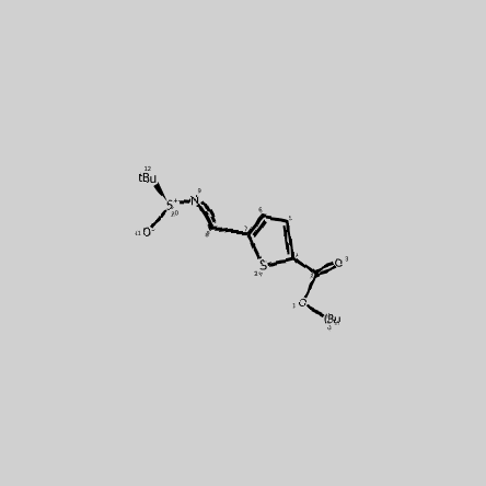 CC(C)(C)OC(=O)c1ccc(C=N[S@@+]([O-])C(C)(C)C)s1